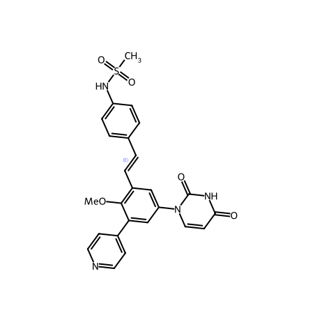 COc1c(/C=C/c2ccc(NS(C)(=O)=O)cc2)cc(-n2ccc(=O)[nH]c2=O)cc1-c1ccncc1